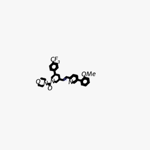 COc1ccccc1-c1ccc(/C=C/C2CC(c3ccc(C(F)(F)F)cc3)CN(C(=O)N3CCOCC3)C2)nc1